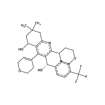 CC1(C)Cc2nc(C3CCOCC3)c([C@@H](O)c3ccc(C(F)(F)F)cn3)c(C3=CCOCC3)c2C(O)C1